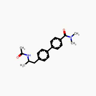 CC(=O)NC(C)Cc1ccc(-c2ccc(C(=O)N(C)C)cc2)cc1